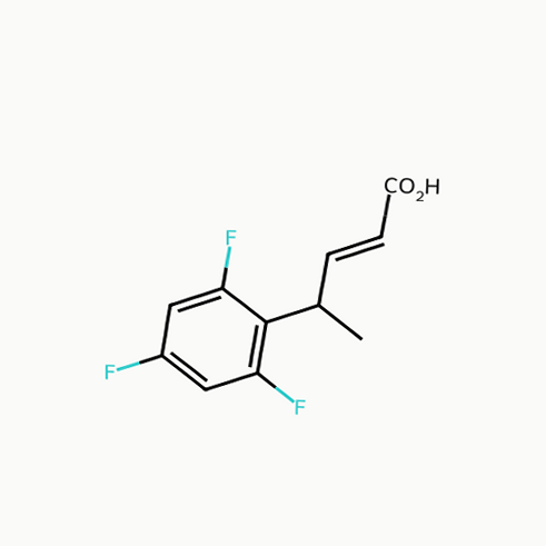 CC(/C=C/C(=O)O)c1c(F)cc(F)cc1F